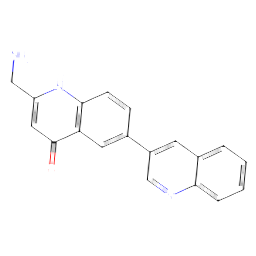 NCc1cc(=O)c2cc(-c3cnc4ccccc4c3)ccc2[nH]1